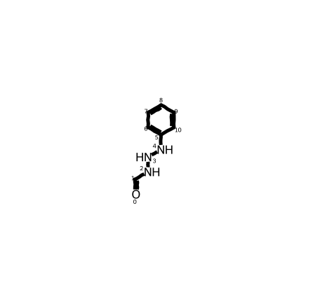 O=CNNNc1ccccc1